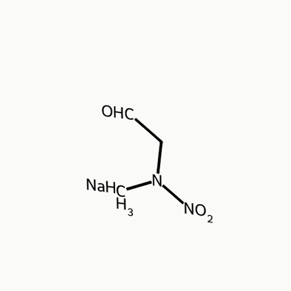 CN(CC=O)[N+](=O)[O-].[NaH]